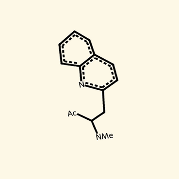 CNC(Cc1ccc2ccccc2n1)C(C)=O